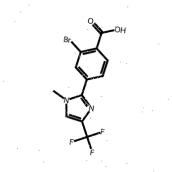 Cn1cc(C(F)(F)F)nc1-c1ccc(C(=O)O)c(Br)c1